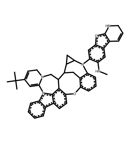 CNc1cc2c3c(oc2cc1N1c2cccc4c2CC(C2CN5CC=C(C(C)(C)C)C=C5n5c6ccccc6c6ccc(c2c65)O4)C2CC21)NCC=C3